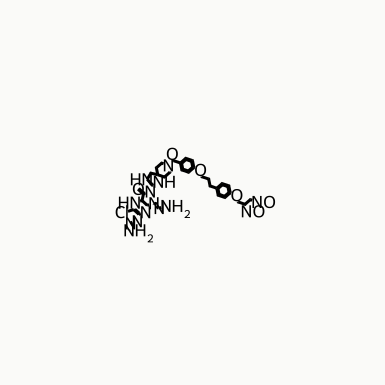 NN=NC1=NC(N=NN)=C(Cl)NC1C(=O)/N=C1\NCC2(CCN(C(=O)c3ccc(OCCCc4ccc(OC[C@H](CN=O)N=O)cc4)cc3)CC2)N1